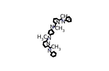 C/C(=N\c1ccccc1)c1cccc(/C(C)=N/c2ccc(/N=C(\C)c3cccc(/C(C)=N/c4ccccc4)n3)cc2)n1